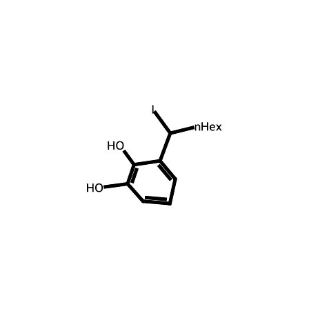 CCCCCCC(I)c1cccc(O)c1O